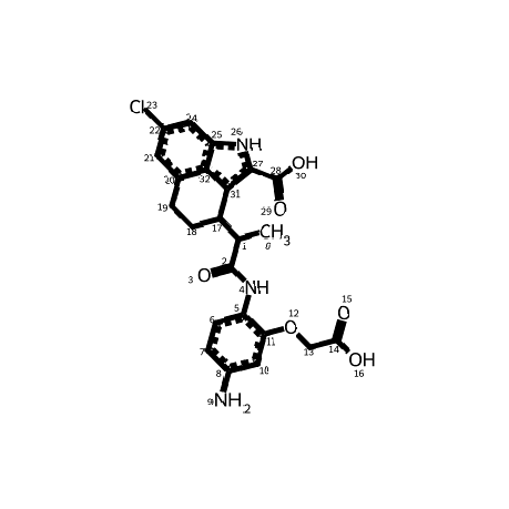 CC(C(=O)Nc1ccc(N)cc1OCC(=O)O)C1CCc2cc(Cl)cc3[nH]c(C(=O)O)c1c23